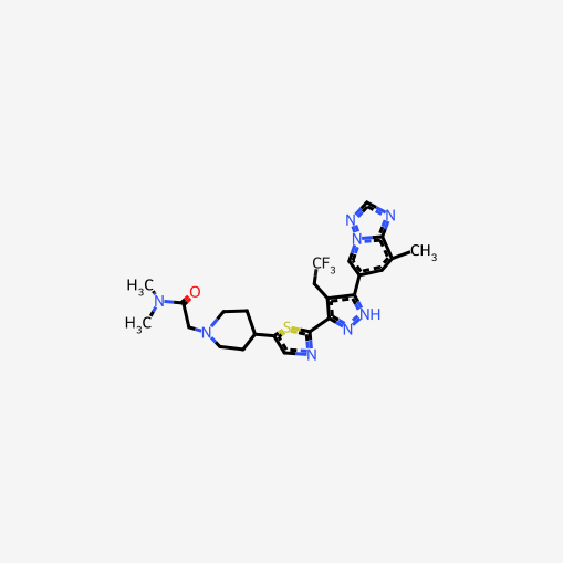 Cc1cc(-c2[nH]nc(-c3ncc(C4CCN(CC(=O)N(C)C)CC4)s3)c2CC(F)(F)F)cn2ncnc12